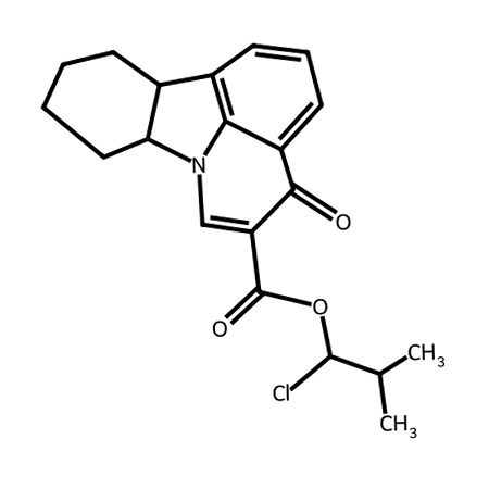 CC(C)C(Cl)OC(=O)c1cn2c3c(cccc3c1=O)C1CCCCC12